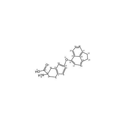 NC1(C(=O)O)CCc2ccc(Oc3ccc4c5c(cccc35)CC4)cc2C1